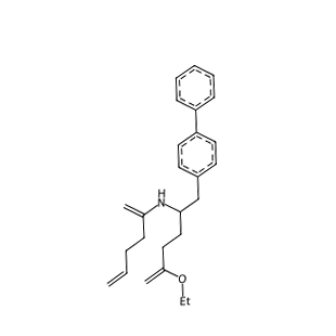 C=CCCC(=C)NC(CCC(=C)OCC)Cc1ccc(-c2ccccc2)cc1